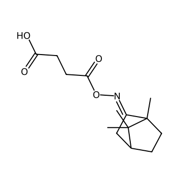 CC12CCC(C/C1=N\OC(=O)CCC(=O)O)C2(C)C